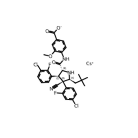 COc1cc(C(=O)[O-])ccc1NC(=O)[C@@H]1N[C@@H](CC(C)(C)C)[C@](C#N)(c2ccc(Cl)cc2F)[C@H]1c1cccc(Cl)c1F.[Cs+]